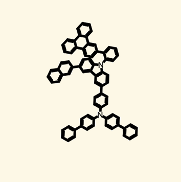 c1ccc(-c2ccc(N(c3ccc(-c4ccccc4)cc3)c3ccc(-c4ccc5c(c4)c4cc(-c6ccc7ccccc7c6)ccc4n5-c4ccccc4-c4ccc5c6ccccc6c6ccccc6c5c4)cc3)cc2)cc1